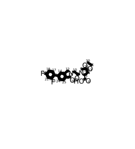 O=C(O)[C@@H]1CC2(CN1C(=O)CN1Cc3cc(-c4ccc(F)cc4F)ccc3C1=O)OCCO2